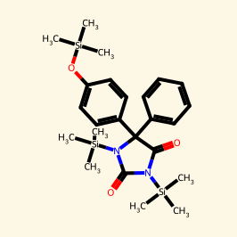 C[Si](C)(C)Oc1ccc(C2(c3ccccc3)C(=O)N([Si](C)(C)C)C(=O)N2[Si](C)(C)C)cc1